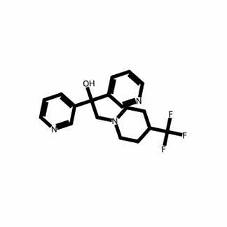 OC(CN1CCC(C(F)(F)F)CC1)(c1cccnc1)c1cccnc1